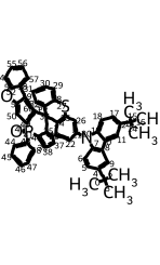 CC(C)(C)c1ccc2c(c1)c1cc(C(C)(C)C)ccc1n2-c1ccc2c(c1)Sc1ccccc1C21c2ccccc2P(=O)(c2ccccc2)c2cc3oc4ccccc4c3cc21